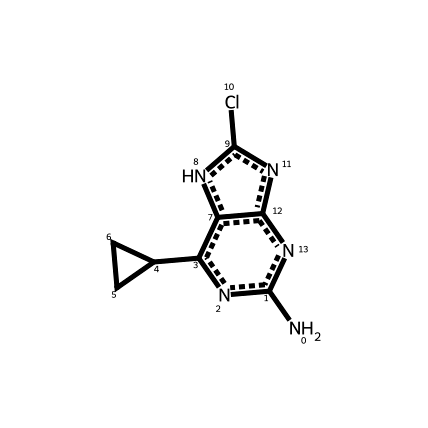 Nc1nc(C2CC2)c2[nH]c(Cl)nc2n1